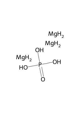 O=P(O)(O)O.[MgH2].[MgH2].[MgH2]